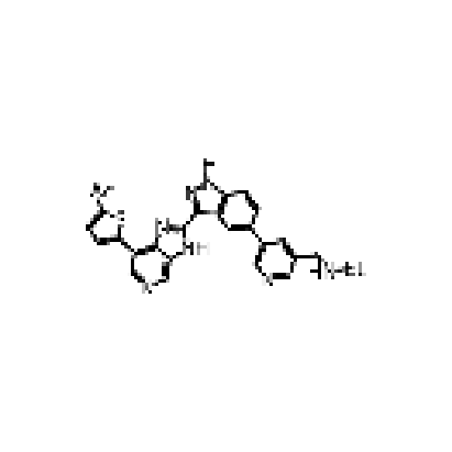 CCNCc1cncc(-c2ccc3[nH]nc(-c4nc5c(-c6ccc(C(C)=O)s6)cncc5[nH]4)c3c2)c1